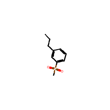 CC[CH]c1cccc(S(C)(=O)=O)c1